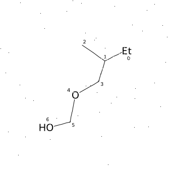 CCC(C)COCO